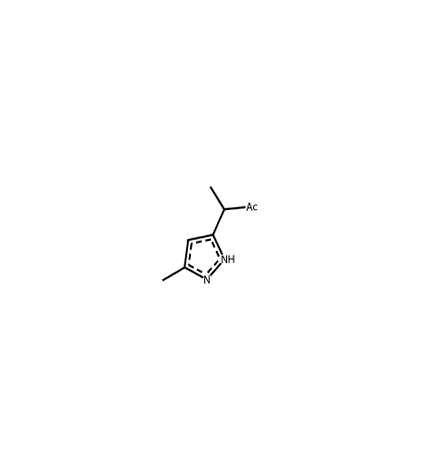 CC(=O)C(C)c1cc(C)n[nH]1